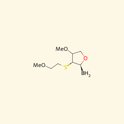 B[C@@H]1OCC(OC)[C@@H]1SCCOC